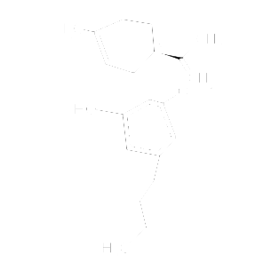 C=C(C)[C@@H]1CCC(C)=C[C@H]1c1c(O)cc(CCCC)cc1O